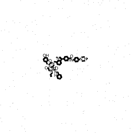 C=CCN1CC(=O)N2[C@@H](Cc3ccc(O)cc3)C(=O)N(Cc3cccc4c(-c5ccc(C(=O)Nc6ccc(N7CCN(C)CC7)cc6)cc5)cn(C)c34)C[C@@H]2N1C(=O)NCc1ccccc1